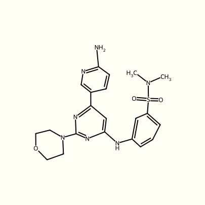 CN(C)S(=O)(=O)c1cccc(Nc2cc(-c3ccc(N)nc3)nc(N3CCOCC3)n2)c1